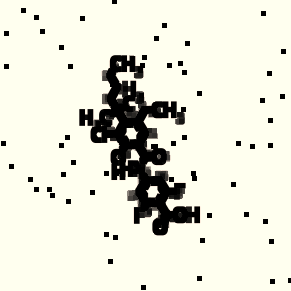 CCCCC(C)(C)c1c(CC)cc(C(=O)Nc2cc(F)c(C(=O)O)c(F)c2)c(O)c1Cl